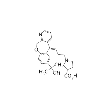 CC(C)(O)c1ccc2c(c1)C(=CCCN1CCC(C(=O)O)C1)c1cccnc1CO2